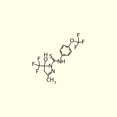 CC1=NN(C(=S)Nc2ccc(OC(F)(F)F)cc2)C(O)(C(F)(F)F)C1